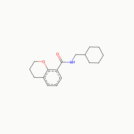 O=C(NCC1CCCCC1)c1cccc2c1OCCC2